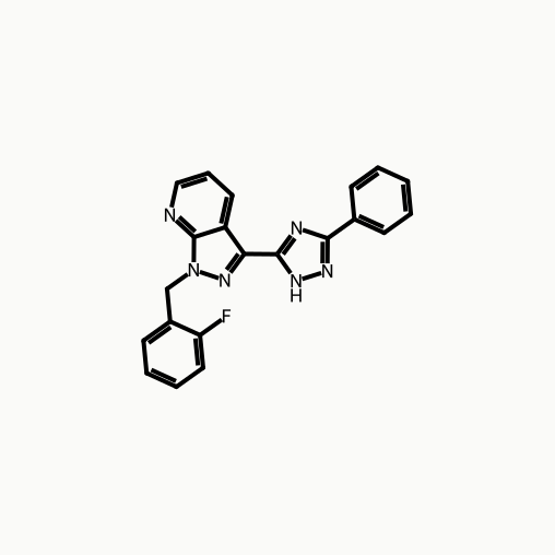 Fc1ccccc1Cn1nc(-c2nc(-c3ccccc3)n[nH]2)c2cccnc21